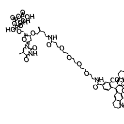 C=C(CCNC(=O)CCOCCOCCOCCOCCNC(=O)c1ccc(C2=c3cc4c5c(c3Oc3c2cc2c6c3CCCN6CCC2)CCC[N+]=5CCC4)c(C(=O)O)c1)COC1C[C@H](n2cc(C)c(=O)[nH]c2=O)O[C@@H]1COP(=O)(O)OP(=O)(O)OP(=O)(O)O